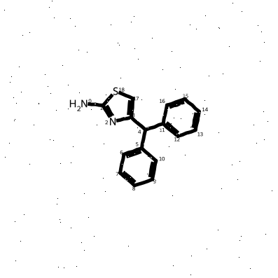 Nc1nc(C(c2ccccc2)c2ccccc2)cs1